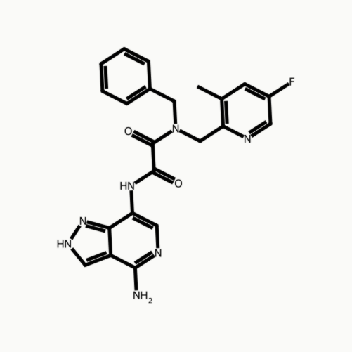 Cc1cc(F)cnc1CN(Cc1ccccc1)C(=O)C(=O)Nc1cnc(N)c2c[nH]nc12